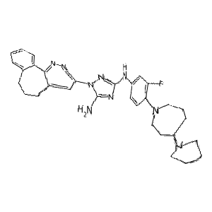 Nc1nc(Nc2ccc(N3CCCC(N4CCCC4)CC3)c(F)c2)nn1-c1cc2c(nn1)-c1ccccc1CCC2